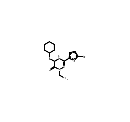 O=C1C(SC2CCCCC2)NC(c2ccc(Br)s2)=NN1CC(F)(F)F